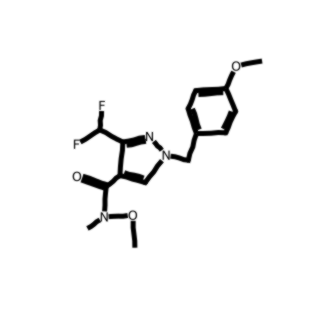 COc1ccc(Cn2cc(C(=O)N(C)OC)c(C(F)F)n2)cc1